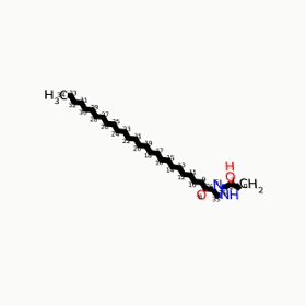 C=CC(O)C1=NC(C(=O)CCCCCCCCCCCCCCCCCCCCCCCCCC)CN1